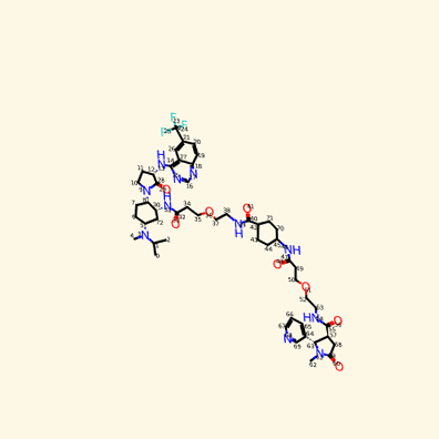 CC(C)N(C)[C@@H]1CC[C@H](N2CC[C@H](Nc3ncnc4ccc(C(F)(F)F)cc34)C2=O)[C@H](NC(=O)CCOCCNC(=O)C2CCC(NC(=O)CCOCCNC(=O)[C@H]3CC(=O)N(C)[C@@H]3c3cccnc3)CC2)C1